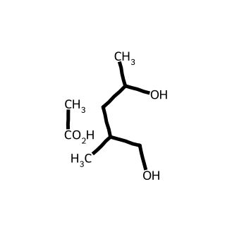 CC(=O)O.CC(O)CC(C)CO